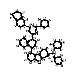 c1ccc(-c2nc(-c3ccc4ccccc4c3)cc(-c3ccc(-c4cccc5oc6cc(N(c7ccccc7)c7ccccc7)ccc6c45)c4ccccc34)n2)cc1